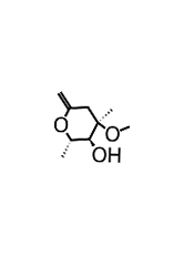 C=C1C[C@@](C)(OC)[C@@H](O)[C@H](C)O1